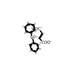 O=C([O-])C=CC(=O)[O-].c1cc[c]([Sn+2][c]2ccccc2)cc1